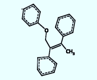 CC(=C(COc1cc[c]cc1)c1ccccc1)c1ccccc1